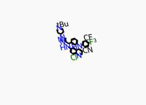 CC(C)(C)N1CCC(n2cc(C(Nc3cc(Cl)c4ncc(C#N)c(Nc5ccc(F)c(C(F)(F)F)c5)c4c3)c3ccccc3)nn2)CC1